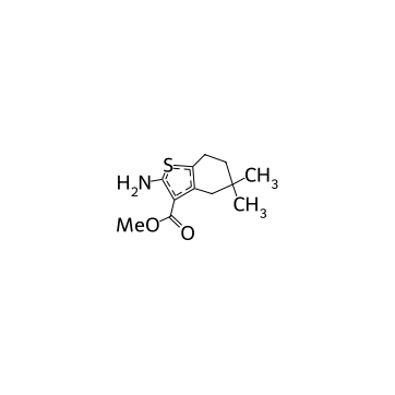 COC(=O)c1c(N)sc2c1CC(C)(C)CC2